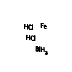 Cl.Cl.[BiH3].[Fe]